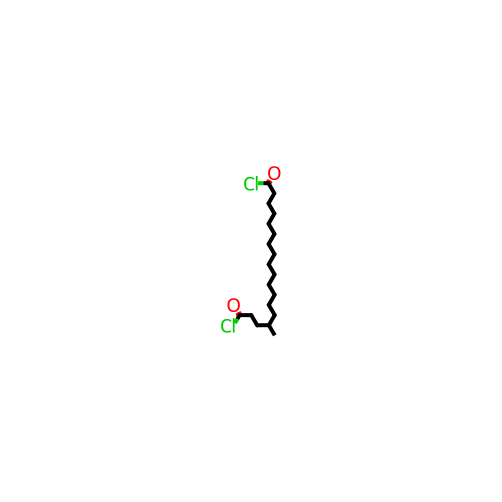 CC(CCCCCCCCCCCCCC(=O)Cl)CCC(=O)Cl